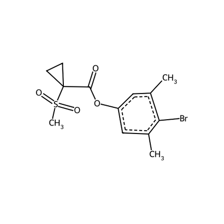 Cc1cc(OC(=O)C2(S(C)(=O)=O)CC2)cc(C)c1Br